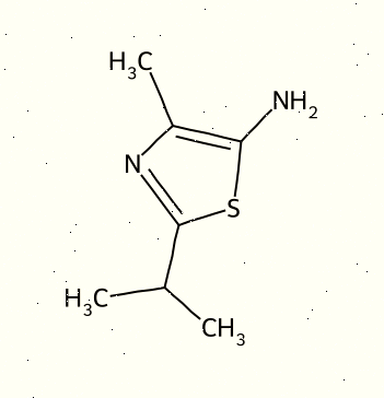 Cc1nc(C(C)C)sc1N